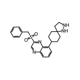 O=S(=O)(Cc1ccccc1)c1cnc2cccc(C3CCC4(CCNN4)CC3)c2n1